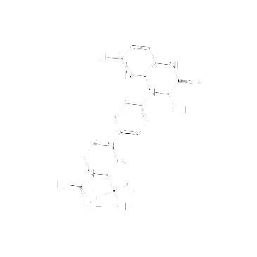 CC1C(=O)Nc2ccc(Cl)nc2N1c1ccc(N2CCN(C(=O)O)C(C(C)(C)C)C2)cc1